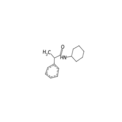 CC(C(=O)NC1CCCCC1)c1ccccc1